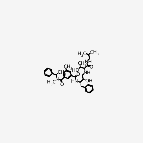 Cc1cc(C(=O)N[C@@H](Cc2ccccc2)[C@H](O)CN[C@H](C(=O)NCC(C)C)[C@H](C)O)cc(C(=O)N(C)[C@H](C)c2ccccc2)c1